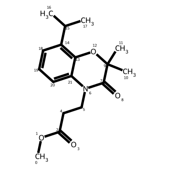 COC(=O)CCN1C(=O)C(C)(C)Oc2c(C(C)C)cccc21